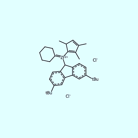 CC1=CC(C)[C]([Zr+2](=[C]2CCCCC2)[CH]2c3ccc(C(C)(C)C)cc3-c3cc(C(C)(C)C)ccc32)=C1C.[Cl-].[Cl-]